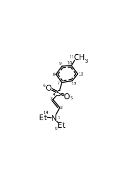 CCN(/C=C/S(=O)(=O)c1ccc(C)cc1)CC